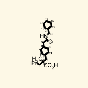 CC(C)CC(C)(Cc1ccc(CC(=O)NCc2ccccc2)cc1)C(=O)O